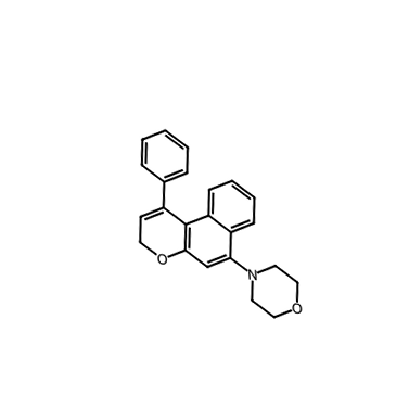 C1=C(c2ccccc2)c2c(cc(N3CCOCC3)c3ccccc23)OC1